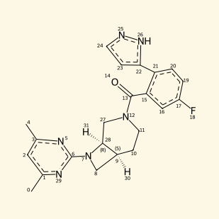 Cc1cc(C)nc(N2C[C@@H]3CCN(C(=O)c4cc(F)ccc4-c4ccn[nH]4)C[C@@H]32)n1